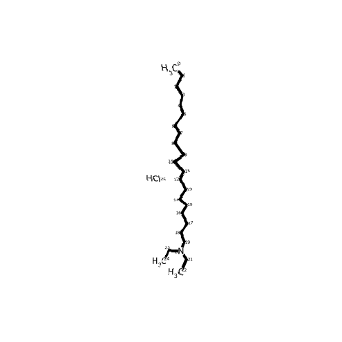 CCCCCCCCCCCCCCCCCCCCN(CC)CC.Cl